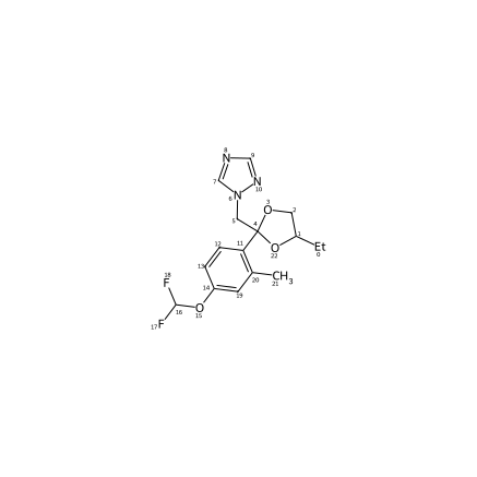 CCC1COC(Cn2cncn2)(c2ccc(OC(F)F)cc2C)O1